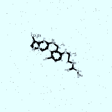 CCOC(=O)c1cnn2ccc(N[C@H](C)c3cc(F)ccc3O[C@H](C)CNC(=O)OC(C)(C)C)nc12